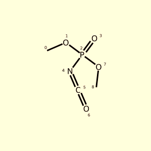 COP(=O)(N=C=O)OC